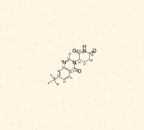 Cc1nc2cc(C(C)(C)C)ccc2c(=O)n1C1CCC(=O)NC1=O